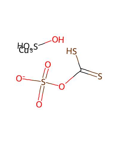 O=S(=O)(O)O.O=S(=O)([O-])OC(=S)S.[Cu+]